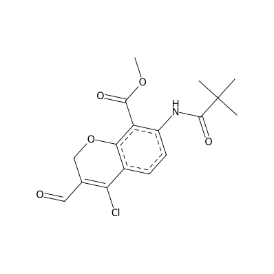 COC(=O)c1c(NC(=O)C(C)(C)C)ccc2c1OCC(C=O)=C2Cl